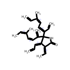 C=C/C=C1\C(=C/C)C(=O)NC1(C(=C)/C=C\C(C)=C/C)/C(C=C)=C/C=C(/C)C=C